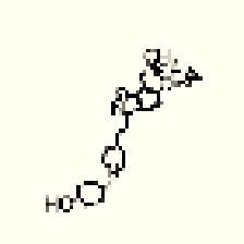 CN(C)Cc1c(OCC2CC2)ccc2c(CCC3CCN(C[C@H]4CC[C@@H](O)CC4)CC3)noc12